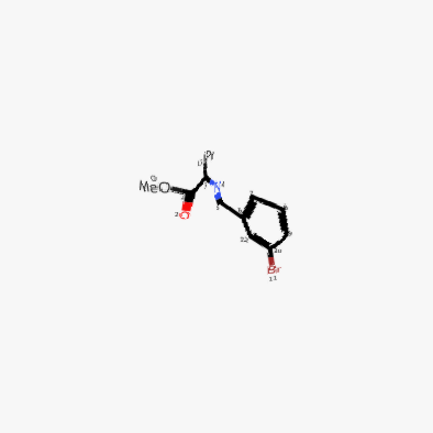 COC(=O)C(N=Cc1cccc(Br)c1)C(C)C